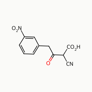 N#CC(C(=O)O)C(=O)Cc1cccc([N+](=O)[O-])c1